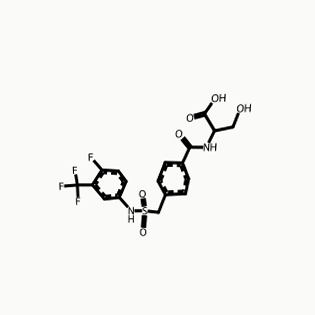 O=C(NC(CO)C(=O)O)c1ccc(CS(=O)(=O)Nc2ccc(F)c(C(F)(F)F)c2)cc1